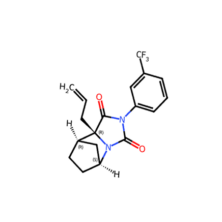 C=CC[C@@]12C(=O)N(c3cccc(C(F)(F)F)c3)C(=O)N1[C@H]1CC[C@@H]2C1